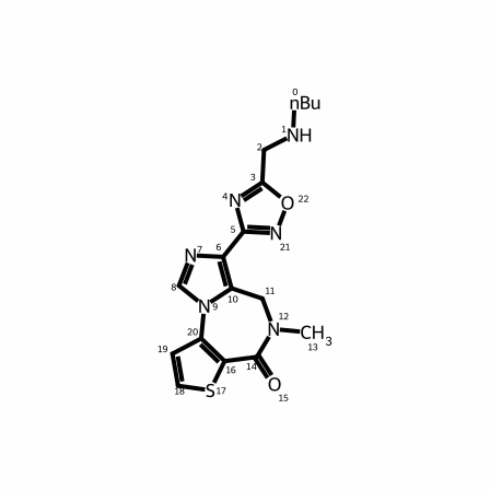 CCCCNCc1nc(-c2ncn3c2CN(C)C(=O)c2sccc2-3)no1